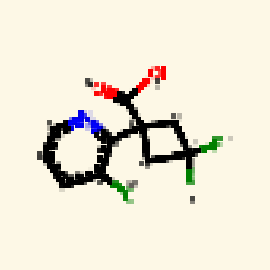 O=C(O)C1(c2ncccc2Cl)CC(F)(F)C1